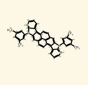 Cc1cc(-n2c3cc4ccc5c6c(ccc(c46)c3c3cccnc32)cc2c5c3cccnc3n2-c2cc(C)cc(C(F)(F)F)c2)cc(C(F)(F)F)c1